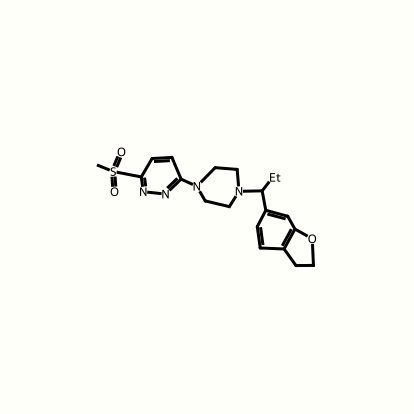 CCC(c1ccc2c(c1)OCC2)N1CCN(c2ccc(S(C)(=O)=O)nn2)CC1